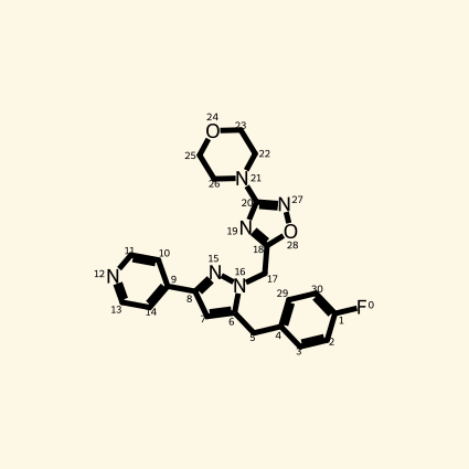 Fc1ccc(Cc2cc(-c3ccncc3)nn2Cc2nc(N3CCOCC3)no2)cc1